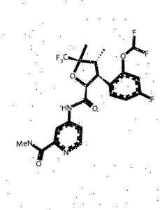 CNC(=O)c1cc(NC(=O)[C@H]2O[C@@](C)(C(F)(F)F)[C@H](C)[C@H]2c2ccc(F)cc2OC(F)F)ccn1